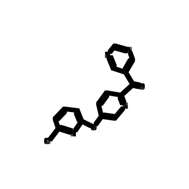 O=C(c1cncnc1)c1ccc(Oc2cccc(Cl)n2)cn1